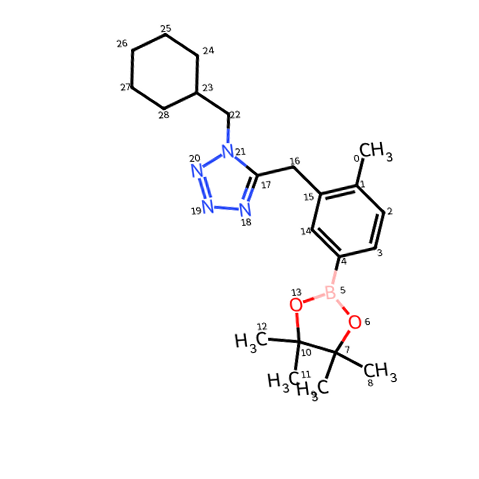 Cc1ccc(B2OC(C)(C)C(C)(C)O2)cc1Cc1nnnn1CC1CCCCC1